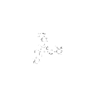 O=C(Nc1ccc2ncccc2c1)[C@H]1c2cccc(-c3cncnc3)c2CCN1C(=O)c1cn(-c2cccc(Cl)c2F)nn1